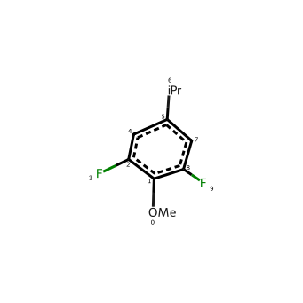 COc1c(F)cc(C(C)C)cc1F